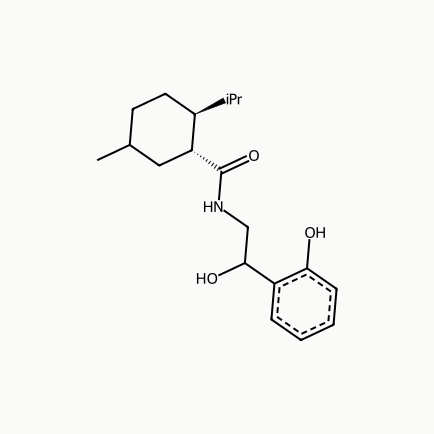 CC1CC[C@@H](C(C)C)[C@H](C(=O)NCC(O)c2ccccc2O)C1